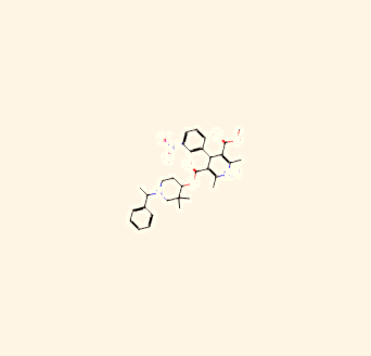 COC(=O)C1=C(C)NC(C)=C(C(=O)OC2CCN(C(C)c3ccccc3)CC2(C)C)C1c1cccc([N+](=O)[O-])c1